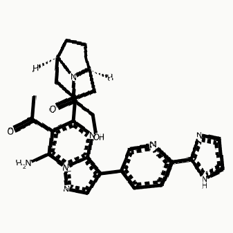 CC(=O)c1c(C2C[C@H]3CC[C@@H](C2)N3C(=O)CO)nc2c(-c3ccc(-c4ncc[nH]4)nc3)cnn2c1N